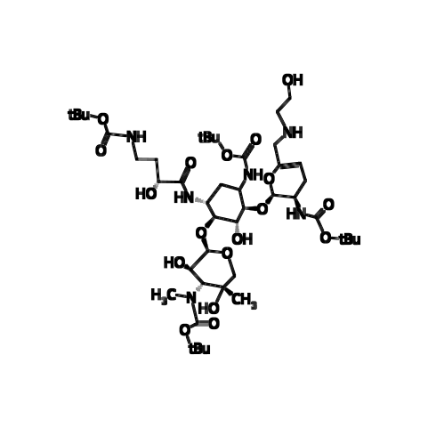 CN(C(=O)OC(C)(C)C)[C@@H]1[C@@H](O)[C@@H](O[C@@H]2[C@@H](O)[C@H](O[C@H]3OC(CNCCO)=CC[C@H]3NC(=O)OC(C)(C)C)C(NC(=O)OC(C)(C)C)C[C@H]2NC(=O)[C@H](O)CCNC(=O)OC(C)(C)C)OC[C@]1(C)O